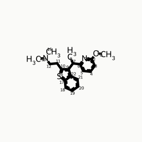 COc1cccc(C(C)c2c(CCN(C)C)sc3ccccc23)n1